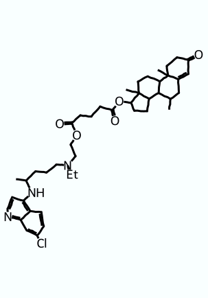 CCN(CCCC(C)Nc1ccnc2cc(Cl)ccc12)CCOC(=O)CCCC(=O)OC1CCC2C3C(C)CC4=CC(=O)CCC4(C)C3CCC12C